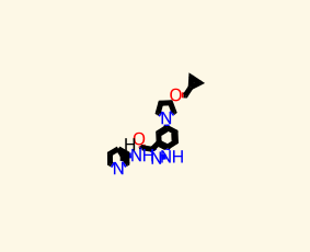 O=C(N[C@@H]1CN2CCC1CC2)c1n[nH]c2ccc(N3CC[C@H](OCC4CC4)C3)cc12